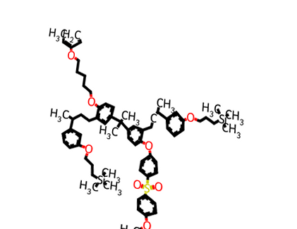 C=C/C(=C\C)OCCCCCOc1ccc(C(C)(C)c2ccc(Oc3ccc(S(=O)(=O)c4ccc(OC)cc4)cc3)c(CCC(C)c3cccc(OCCC[Si](C)(C)C)c3)c2)cc1CCC(C)c1cccc(OCCC[Si](C)(C)C)c1